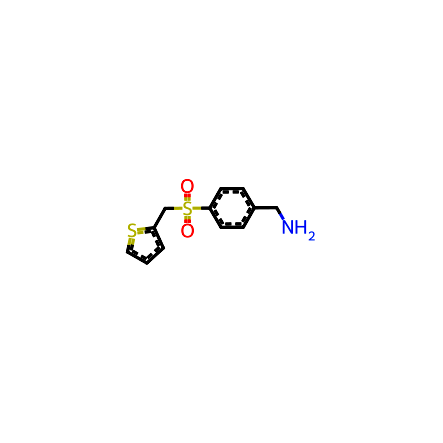 NCc1ccc(S(=O)(=O)Cc2cccs2)cc1